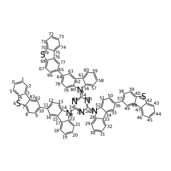 c1ccc2c(c1)sc1ccc(-c3ccc4c(c3)c3ccccc3n4-c3nc(-n4c5ccccc5c5cc(-c6ccc7sc8ccccc8c7c6)ccc54)nc(-n4c5ccccc5c5cc(-c6ccc7sc8ccccc8c7c6)ccc54)n3)cc12